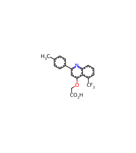 Cc1ccc(-c2cc(OCC(=O)O)c3c(C(F)(F)F)cccc3n2)cc1